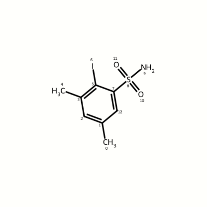 Cc1cc(C)c(I)c(S(N)(=O)=O)c1